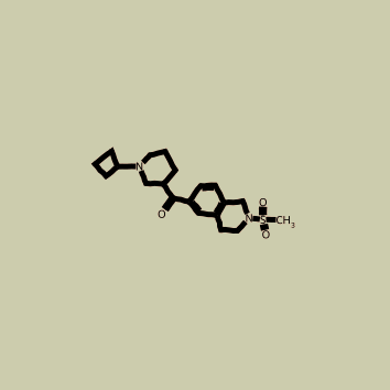 CS(=O)(=O)N1CCc2cc(C(=O)C3CCCN(C4CCC4)C3)ccc2C1